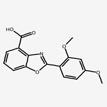 COc1ccc(-c2nc3c(C(=O)O)cccc3o2)c(OC)c1